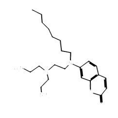 CCCCCCCCN(CCN(CCN)CCN)c1ccc2ccc(=O)oc2c1